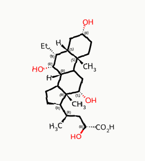 CC[C@H]1[C@@H](O)[C@H]2C3CC[C@H]([C@H](C)C[C@@H](O)C(=O)O)[C@@]3(C)[C@@H](O)CC2[C@@]2(C)CC[C@@H](O)C[C@@H]12